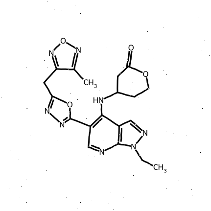 CCn1ncc2c(NC3CCOC(=O)C3)c(-c3nnc(Cc4nonc4C)o3)cnc21